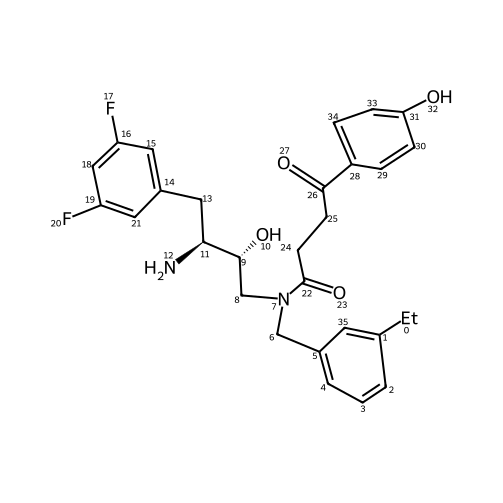 CCc1cccc(CN(C[C@@H](O)[C@@H](N)Cc2cc(F)cc(F)c2)C(=O)CCC(=O)c2ccc(O)cc2)c1